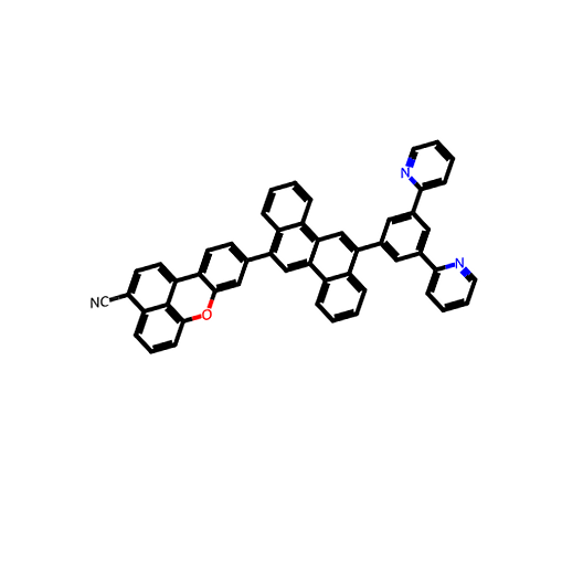 N#Cc1ccc2c3c(cccc13)Oc1cc(-c3cc4c5ccccc5c(-c5cc(-c6ccccn6)cc(-c6ccccn6)c5)cc4c4ccccc34)ccc1-2